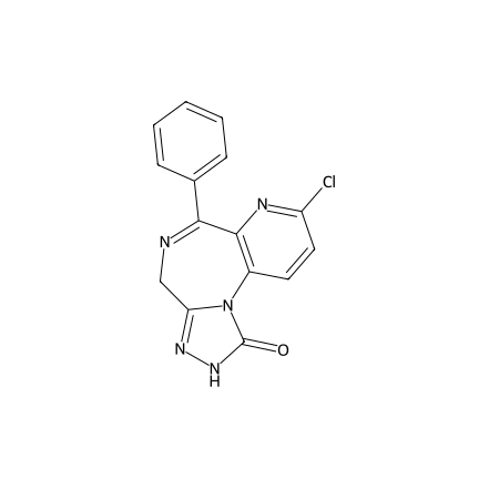 O=c1[nH]nc2n1-c1ccc(Cl)nc1C(c1ccccc1)=NC2